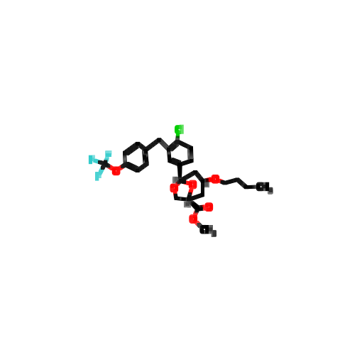 CCCCO[C@H]1C[C@]2(C(=O)OC)CO[C@](c3ccc(Cl)c(Cc4ccc(OC(F)(F)F)cc4)c3)(C1)O2